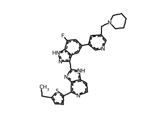 CCc1ccc(-c2nccc3[nH]c(-c4n[nH]c5c(F)cc(-c6cncc(CN7CCCCC7)c6)cc45)nc23)s1